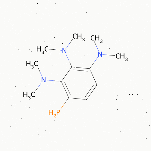 CN(C)c1ccc(P)c(N(C)C)c1N(C)C